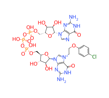 Nc1nc2c(ncn2[C@@H]2O[C@H](COP(=O)(O)OP(=O)(O)OP(=O)(O)OC[C@H]3O[C@@H](n4c[n+](CCOc5ccc(Cl)cc5)c5c(=O)[nH]c(N)nc54)[C@@H](O)[C@@H]3O)[C@@H](O)[C@H]2O)c(=O)[nH]1